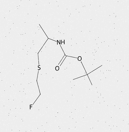 CC(CSCCF)NC(=O)OC(C)(C)C